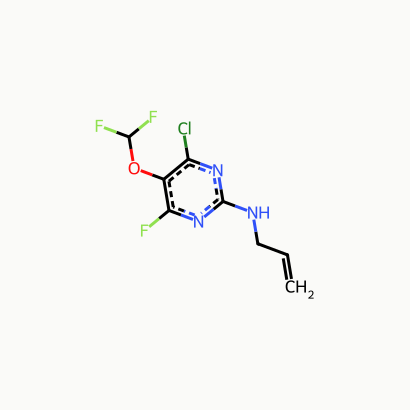 C=CCNc1nc(F)c(OC(F)F)c(Cl)n1